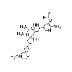 CCC(C)N/C(=C\C(=N)c1cnc(N)c(OC(F)F)c1)[C@H]1[C@@H]2CC(N3CC4(CN(C)CCO4)C3)C[C@@H]21